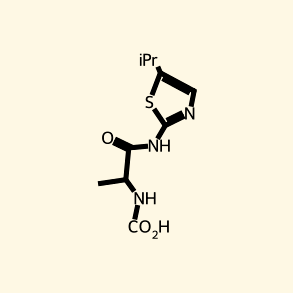 CC(NC(=O)O)C(=O)Nc1ncc(C(C)C)s1